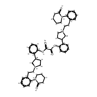 O=C(Oc1ccccc1C1CCN(CCc2ccccc2N2CCCCC2=O)C1)C(=O)Oc1ccccc1C1CCN(CCc2ccccc2N2CCCCC2=O)C1